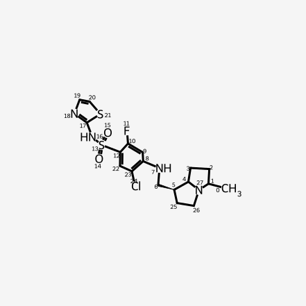 CC1CCC2[C@H](CNc3cc(F)c(S(=O)(=O)Nc4nccs4)cc3Cl)CCN12